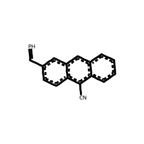 N#Cc1c2ccccc2cc2cc(C=P)ccc12